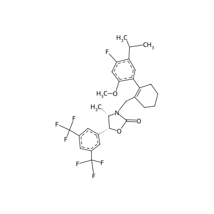 COc1cc(F)c(C(C)C)cc1C1=C(CN2C(=O)O[C@H](c3cc(C(F)(F)F)cc(C(F)(F)F)c3)[C@@H]2C)CCCC1